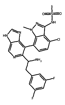 Cn1nc(NS(C)(=O)=O)c2c(Cl)ccc(-c3c(C(N)Cc4cc(F)cc(F)c4)ncc4[nH]cnc34)c21